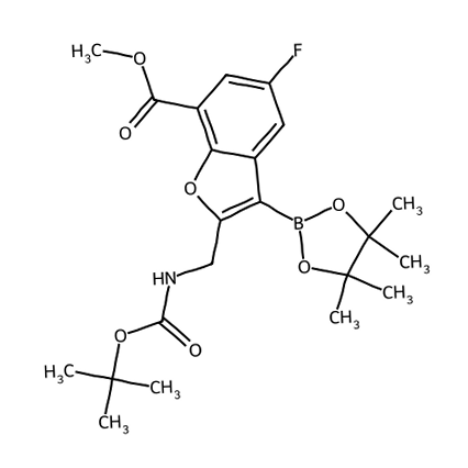 COC(=O)c1cc(F)cc2c(B3OC(C)(C)C(C)(C)O3)c(CNC(=O)OC(C)(C)C)oc12